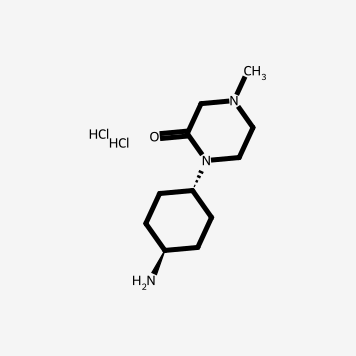 CN1CCN([C@H]2CC[C@H](N)CC2)C(=O)C1.Cl.Cl